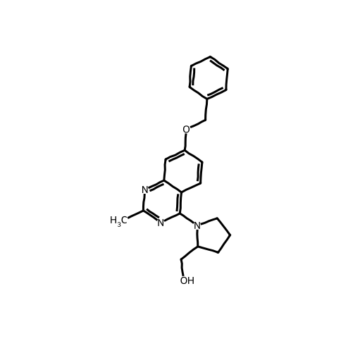 Cc1nc(N2CCCC2CO)c2ccc(OCc3ccccc3)cc2n1